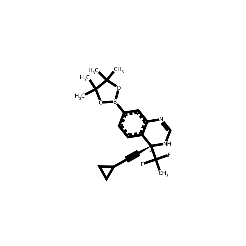 CC1(C)OB(c2ccc3c(c2)N=CN[C@]3(C#CC2CC2)C(C)(F)F)OC1(C)C